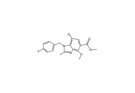 COC(=O)c1cc(Cl)c2c(nc(C)n2Cc2ccc(F)cc2)c1OC